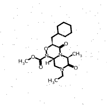 CCN1C[C@@H]2N(C(=O)OC)O[C@@H](CC3CCCCC3)C(=O)N2[C@@H](C)C1=O